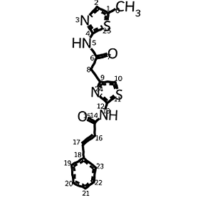 Cc1cnc(NC(=O)Cc2csc(NC(=O)/C=C/c3ccccc3)n2)s1